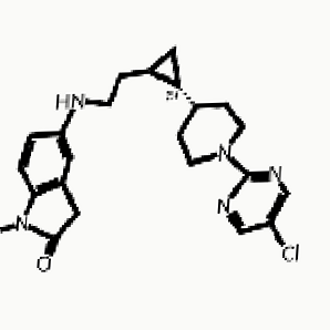 CN1C(=O)Cc2cc(NCCC3C[C@@H]3C3CCN(c4ncc(Cl)cn4)CC3)ccc21